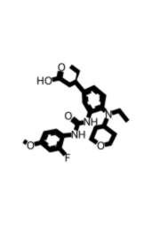 CC[C@H](CC(=O)O)c1ccc(N(CC)C2CCOCC2)c(NC(=O)Nc2ccc(OC)cc2F)c1